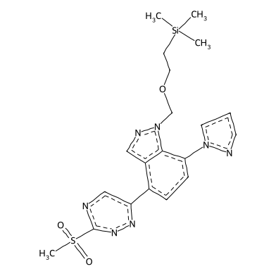 C[Si](C)(C)CCOCn1ncc2c(-c3cnc(S(C)(=O)=O)nn3)ccc(-n3cccn3)c21